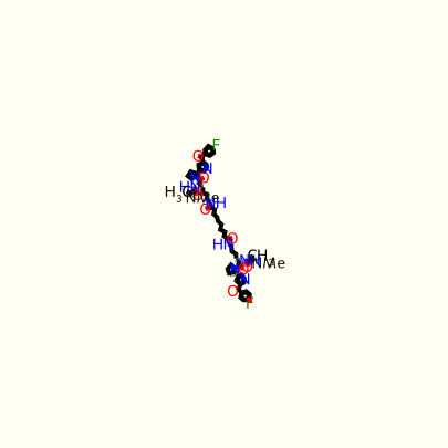 CN[C@@H](C)C(=O)N[C@@H](CCCCNC(=O)CCCCCCCCC(=O)NCCCC[C@H](NC(=O)[C@H](C)NC)C(=O)N1CCC[C@H]1c1cncc(C(=O)c2ccc(F)cc2)c1)C(=O)N1CCC[C@H]1c1cncc(C(=O)c2ccc(F)cc2)c1